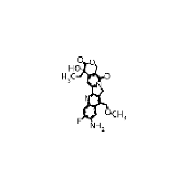 CC[C@@]1(O)C(=O)OCc2c1cc1n(c2=O)Cc2c-1nc1cc(F)c(N)cc1c2COC